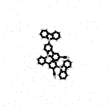 N#Cc1ccc2c(c1)c1cc(-n3c4ccccc4c4ccccc43)ccc1n2-c1ccccc1-c1ccc(-n2c3ccccc3c3ccccc32)c(C#N)c1